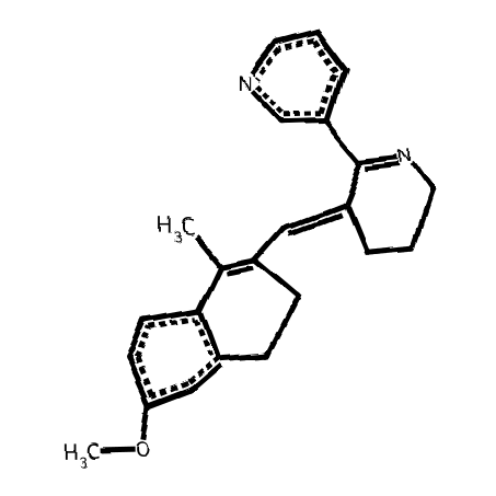 COc1ccc2c(c1)CCC(/C=C1\CCCN=C1c1cccnc1)=C2C